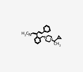 C=N/C=C(/C=C/c1ccccc1)c1ccccc1CN1CCN(C(=C)C2CC2)CC1